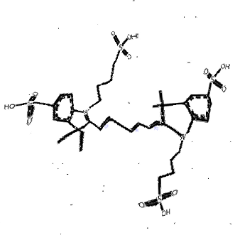 CC1(C)C(/C=C/C=C/C=C2/N(CCCCS(=O)(=O)O)c3ccc(S(=O)(=O)O)cc3C2(C)C)=[N+](CCCCS(=O)(=O)O)c2ccc(S(=O)(=O)O)cc21